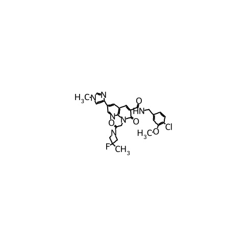 COc1cc(CNC(=O)c2cc3cc(-c4cn(C)cn4)cnc3n(CC(=O)N3CC(C)(F)C3)c2=O)ccc1Cl